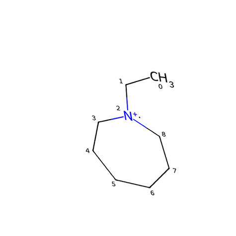 CC[N+]1CCCCCC1